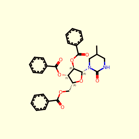 CC1CNC(=O)N([C@@H]2O[C@H](COC(=O)c3ccccc3)[C@H](OC(=O)c3ccccc3)[C@H]2OC(=O)c2ccccc2)C1